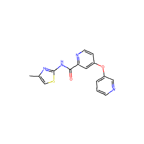 Cc1csc(NC(=O)c2cc(Oc3cccnc3)ccn2)n1